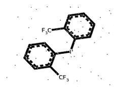 FC(F)(F)c1ccccc1[I+]c1ccccc1C(F)(F)F